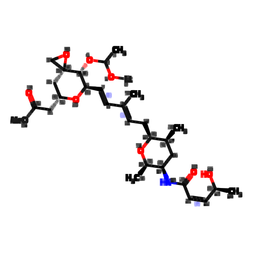 CCOC(C)O[C@@H]1[C@@H](/C=C/C(C)=C/C[C@@H]2O[C@H](C)[C@H](NC(=O)/C=C\[C@H](C)O)C[C@@H]2C)O[C@H](CC(=O)OC)C[C@@]12CO2